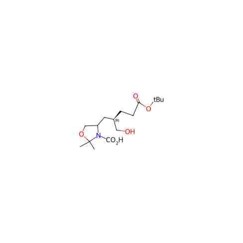 CC(C)(C)OC(=O)CC[C@@H](CO)CC1COC(C)(C)N1C(=O)O